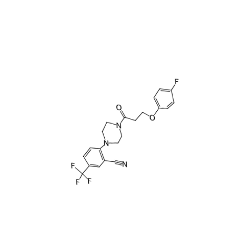 N#Cc1cc(C(F)(F)F)ccc1N1CCN(C(=O)CCOc2ccc(F)cc2)CC1